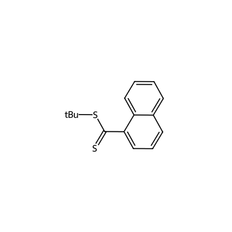 CC(C)(C)SC(=S)c1cccc2ccccc12